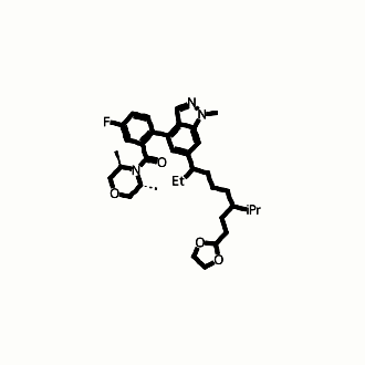 CCC(CCCC(CCC1OCCO1)C(C)C)c1cc(-c2ccc(F)cc2C(=O)N2[C@H](C)COC[C@H]2C)c2cnn(C)c2c1